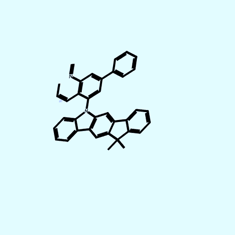 C=Nc1cc(-c2ccccc2)cc(-n2c3ccccc3c3cc4c(cc32)-c2ccccc2C4(C)C)c1/C=C\C